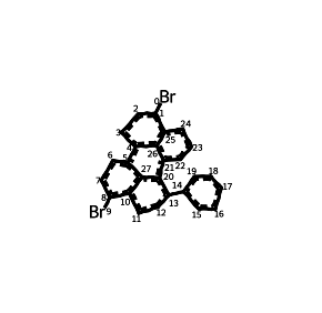 Brc1ccc2c3ccc(Br)c4ccc(-c5ccccc5)c(c5cccc1c25)c43